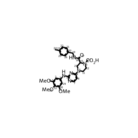 COc1cc(Nc2nccc(N3CCN(C(=O)O)C(C(=O)NCc4ccc(C)cc4)C3)n2)cc(OC)c1OC